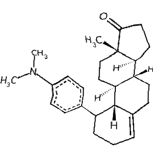 CN(C)c1ccc(C2CCC=C3CC[C@@H]4[C@H](CC[C@]5(C)C(=O)CC[C@@H]45)[C@H]32)cc1